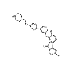 O=C1c2ccc(F)cc2-c2ccc(=O)n(Cc3cccc(-c4ncc(OCC5CCNCC5)cn4)c3)c21